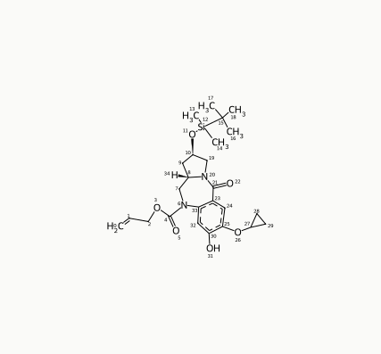 C=CCOC(=O)N1C[C@@H]2C[C@@H](O[Si](C)(C)C(C)(C)C)CN2C(=O)c2cc(OC3CC3)c(O)cc21